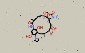 CO[C@H]1/C=C\C=C(/C)C(=O)Nc2cc(O)c(N3CCC3)c(c2O)C[C@@H](C)C[C@H](OC)[C@H](O)[C@@H](C)/C=C(\C)[C@@H]1OC(N)=O